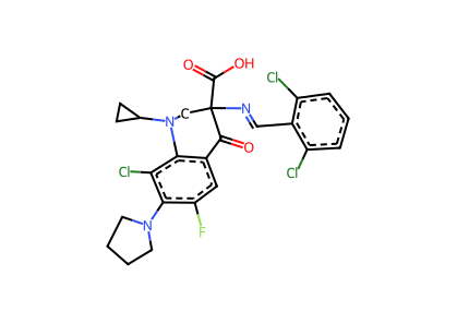 O=C(O)C1(N=Cc2c(Cl)cccc2Cl)CN(C2CC2)c2c(cc(F)c(N3CCCC3)c2Cl)C1=O